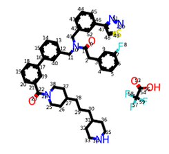 O=C(Cc1cccc(F)c1)N(Cc1cccc(-c2cccc(C(=O)N3CCC(CCCC4CCNCC4)CC3)c2)c1)Cc1cccc(-c2csnn2)c1.O=C(O)C(F)(F)F